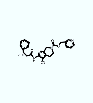 C[C@@H](CC(=O)Nc1sc2c(c1C#N)CCN(C(=O)OCc1cccnc1)C2)c1ccccc1